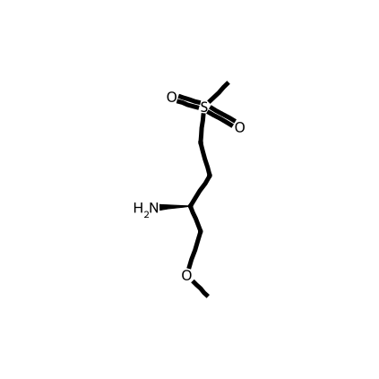 COC[C@@H](N)CCS(C)(=O)=O